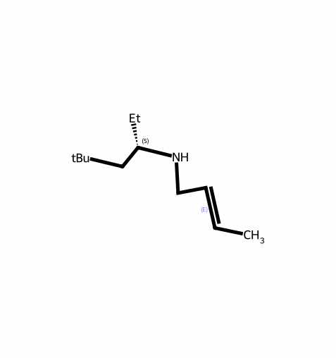 C/C=C/CN[C@@H](CC)CC(C)(C)C